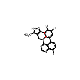 O=C(O)c1[nH]nc2c1CN(c1ncnc3c(F)ccc(-c4ccc(Cl)c(Cl)c4)c13)CC2